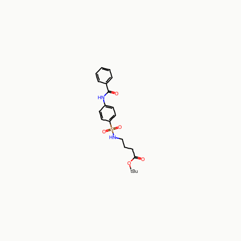 CC(C)(C)OC(=O)CCCNS(=O)(=O)c1ccc(NC(=O)c2ccccc2)cc1